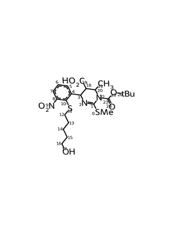 CSC1=NC(c2cccc([N+](=O)[O-])c2SCCCCCO)C(C(=O)O)C(C)N1C(=O)OC(C)(C)C